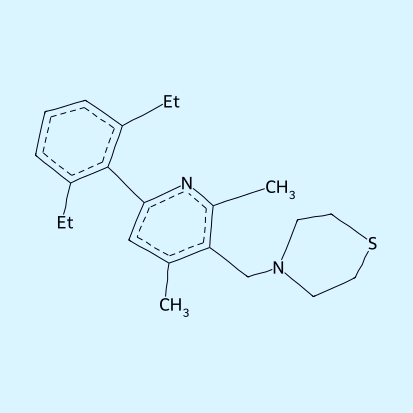 CCc1cccc(CC)c1-c1cc(C)c(CN2CCSCC2)c(C)n1